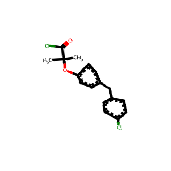 CC(C)(Oc1ccc(Cc2ccc(Cl)cc2)cc1)C(=O)Cl